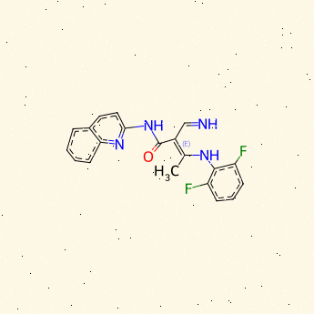 C/C(Nc1c(F)cccc1F)=C(/C=N)C(=O)Nc1ccc2ccccc2n1